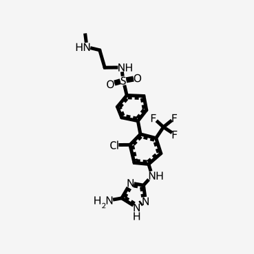 CNCCNS(=O)(=O)c1ccc(-c2c(Cl)cc(Nc3n[nH]c(N)n3)cc2C(F)(F)F)cc1